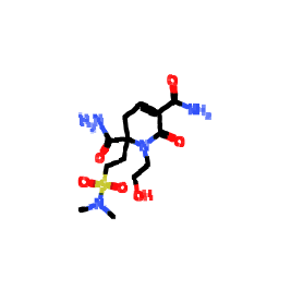 CN(C)S(=O)(=O)CCC1(C(N)=O)CC=C(C(N)=O)C(=O)N1CCO